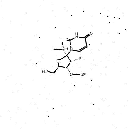 C[SiH](C)[C@@]1(n2ccc(=O)[nH]c2=O)O[C@H](CO)[C@@H](OC(C)(C)C)[C@H]1F